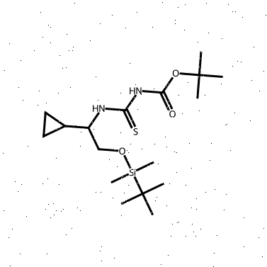 CC(C)(C)OC(=O)NC(=S)NC(CO[Si](C)(C)C(C)(C)C)C1CC1